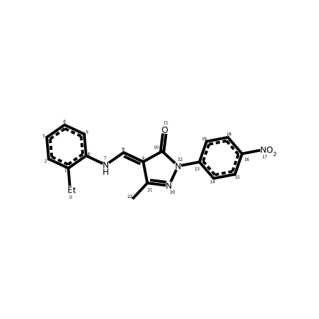 CCc1ccccc1NC=C1C(=O)N(c2ccc([N+](=O)[O-])cc2)N=C1C